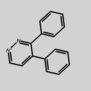 C1=[N+]N=C(c2ccccc2)C(c2ccccc2)=C1